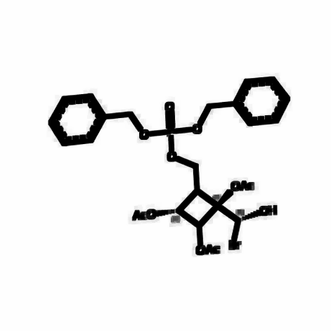 CC(=O)OC1[C@H](OC(C)=O)C(COP(=O)(OCc2ccccc2)OCc2ccccc2)[C@]1(OC(C)=O)[C@H](O)Br